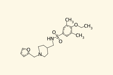 CCOc1c(C)cc(S(=O)(=O)NCC2CCN(Cc3ccco3)CC2)cc1C